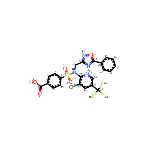 O=C(O)c1ccc(S(=O)(=O)N(Cc2noc(-c3ccccc3)n2)c2ncc(C(F)(F)F)cc2Cl)cc1